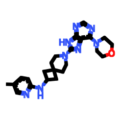 Cc1ccc(NC2CC3(CCN(c4nc5c(N6CCOCC6)ncnc5[nH]4)CC3)C2)nc1